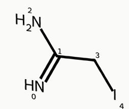 N=C(N)CI